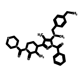 Cc1c(C2CCN(C(=O)N3CCOCC3)C(=O)C2C)nn(C(=O)c2ccccc2)c1N(C)Cc1ccc(CN)cc1